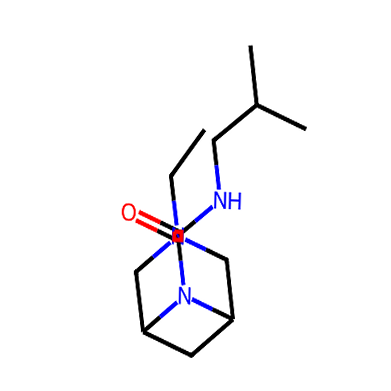 CCN1CC2CC(C1)N2C(=O)NCC(C)C